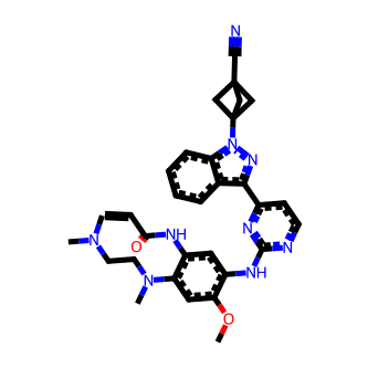 C=CC(=O)Nc1cc(Nc2nccc(-c3nn(C45CC(C#N)(C4)C5)c4ccccc34)n2)c(OC)cc1N(C)CCN(C)C